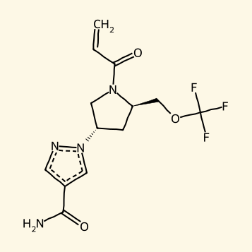 C=CC(=O)N1C[C@@H](n2cc(C(N)=O)cn2)C[C@@H]1COC(F)(F)F